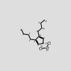 CCCCC1=C[CH]C=C1CCCC.[Cl][Zr][Cl]